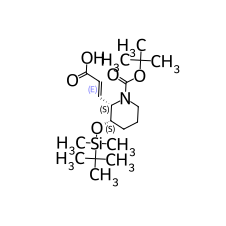 CC(C)(C)OC(=O)N1CCC[C@H](O[Si](C)(C)C(C)(C)C)[C@@H]1/C=C/C(=O)O